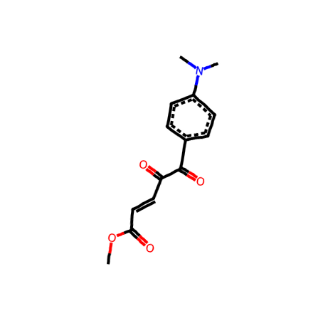 COC(=O)/C=C/C(=O)C(=O)c1ccc(N(C)C)cc1